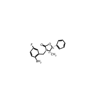 Bc1ccc(F)cc1CN1C(=O)O[C@H](c2ccccc2)[C@@H]1C